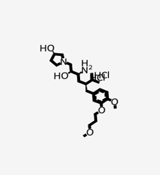 COCCCOc1cc(C[C@@H](C[C@H](N)[C@@H](O)CN2CC[C@H](O)C2)C(C)C)ccc1OC.Cl.Cl